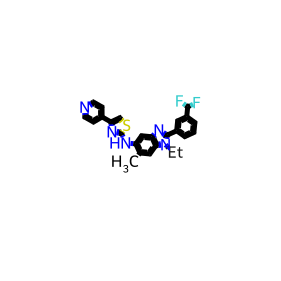 CCn1c(-c2cccc(C(F)F)c2)nc2cc(Nc3nc(-c4ccncc4)cs3)c(C)cc21